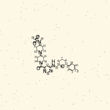 Cc1ccc([C@@H]2CCCC(CNc3cc(C(=O)N4CCC(N5CCC(N(C)S(C)(=O)=O)CC5)CC4)ncn3)O2)cc1